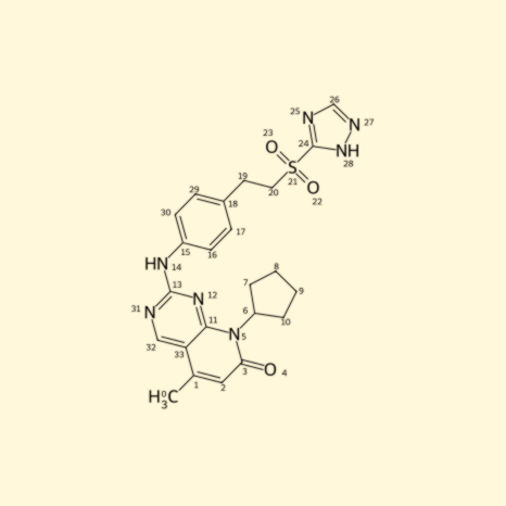 Cc1cc(=O)n(C2CCCC2)c2nc(Nc3ccc(CCS(=O)(=O)c4ncn[nH]4)cc3)ncc12